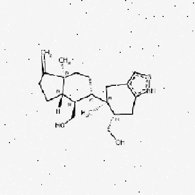 C=C1CC[C@H]2[C@H](CO)[C@@H]([C@@]3(C)Cc4[c]n[nH]c4C[C@@H]3CO)CC[C@]12C